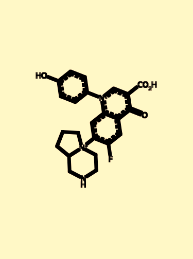 O=C(O)c1cn(-c2ccc(O)cc2)c2cc([N+]34CCCC3CNCC4)c(F)cc2c1=O